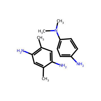 CN(C)c1ccc(N)cc1.Cc1cc(N)c(C)cc1N